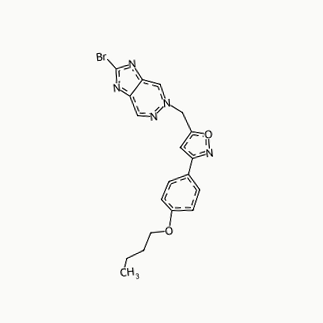 CCCCOc1ccc(-c2cc(Cn3cc4nc(Br)nc-4cn3)on2)cc1